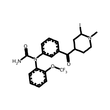 CN1CCC(C(=O)c2cccc(N(C(N)=O)c3ccccc3OC(F)(F)F)c2)CC1I